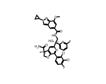 COc1cc(C(=O)NC[C@@](O)(c2cccc(F)n2)c2cc3c(c(-c4ccc(F)c(Cl)c4Cl)n2)OC[C@]3(C)C(N)=O)cc2cn(C3CC3)nc12